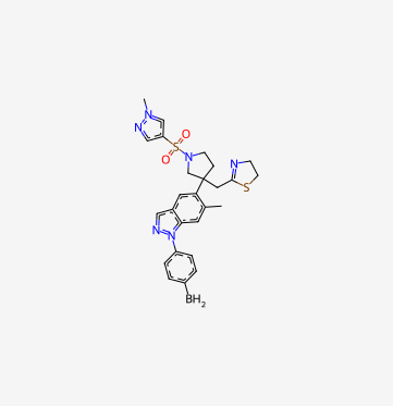 Bc1ccc(-n2ncc3cc(C4(CC5=NCCS5)CCN(S(=O)(=O)c5cnn(C)c5)C4)c(C)cc32)cc1